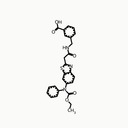 CCOC(=O)N(c1ccccc1)c1ccc2nc(CC(=O)NCc3cccc(C(=O)O)c3)sc2c1